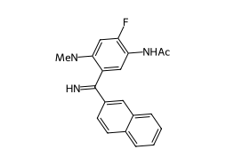 CNc1cc(F)c(NC(C)=O)cc1C(=N)c1ccc2ccccc2c1